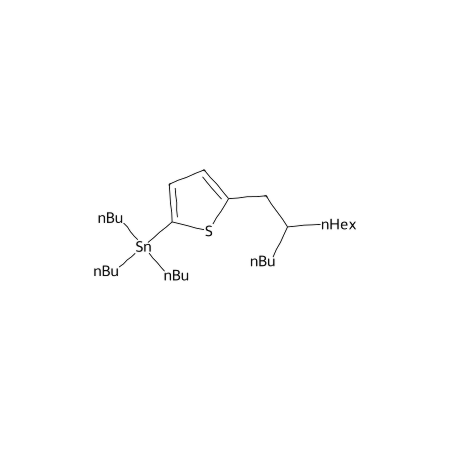 CCCCCCC(CCCC)Cc1cc[c]([Sn]([CH2]CCC)([CH2]CCC)[CH2]CCC)s1